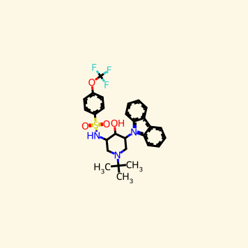 CC(C)(C)N1CC(NS(=O)(=O)c2ccc(OC(F)(F)F)cc2)C(O)C(n2c3ccccc3c3ccccc32)C1